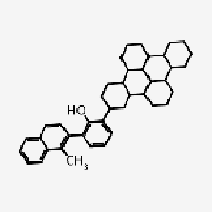 Cc1c(-c2cccc(C3CCC4C(C3)C3CCCC5C6CCCCC6C6CCCC4C6C53)c2O)ccc2ccccc12